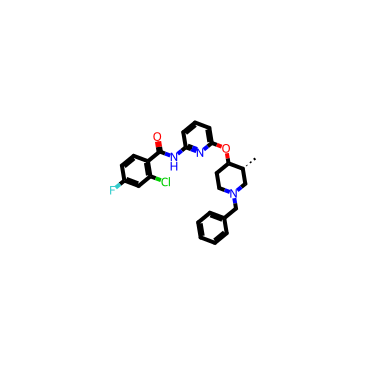 C[C@@H]1CN(Cc2ccccc2)CCC1Oc1cccc(NC(=O)c2ccc(F)cc2Cl)n1